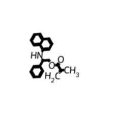 C=C(C)C(=O)OCC(Nc1cccc2ccccc12)c1ccccc1